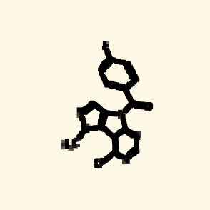 Cn1ncc2c1c1c(Cl)ncnc1n2C(=O)c1ccc(F)cc1